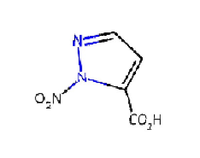 O=C(O)c1ccnn1[N+](=O)[O-]